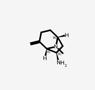 C=C1CC[C@@H]2C[C@@H](N)[C@H]1N2C